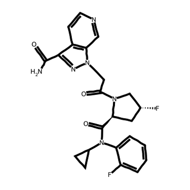 NC(=O)c1nn(CC(=O)N2C[C@H](F)C[C@H]2C(=O)N(c2ccccc2F)C2CC2)c2cnccc12